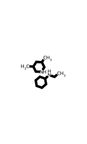 CC1CNCC(C)C1.CCNC1CCCCC1